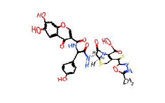 Cc1nnc(C(=S)C2=C(C(=O)O)N3C(=O)[C@@H](NC(=O)C(NC(=O)c4coc5cc(O)c(O)cc5c4=O)c4ccc(O)cc4)[C@@H]3SC2)o1